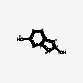 Oc1ccc2sc(O)nc2c1